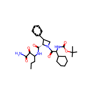 CCCC(NC(=O)[C@@H]1C(c2ccccc2)CN1C(=O)C(NC(=O)OC(C)(C)C)C1CCCCC1)C(=O)C(N)=O